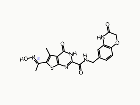 C/C(=N\O)c1sc2nc(C(=O)NCc3ccc4c(c3)NC(=O)CO4)[nH]c(=O)c2c1C